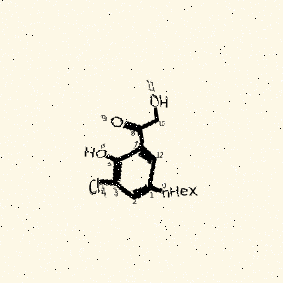 CCCCCCc1cc(Cl)c(O)c(C(=O)CO)c1